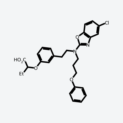 CCC(Oc1cccc(CCN(CCCOc2ccccc2)c2nc3cc(Cl)ccc3o2)c1)C(=O)O